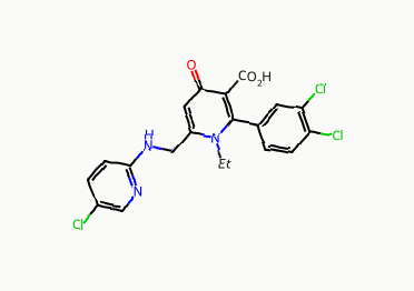 CCn1c(CNc2ccc(Cl)cn2)cc(=O)c(C(=O)O)c1-c1ccc(Cl)c(Cl)c1